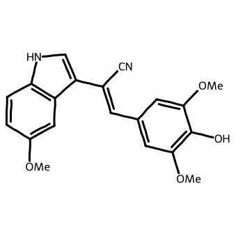 COc1ccc2[nH]cc(C(C#N)=Cc3cc(OC)c(O)c(OC)c3)c2c1